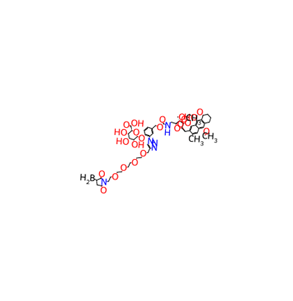 BC1CC(=O)N(CCOCCOCCOCCOCc2cn(-c3cc(COC(=O)NCC45OC6c7c(C)cc8c(OC)c9c(c(O)c8c7O[C@](OC)(C6O4)[C@@]54CO4)C(=O)CCC9)ccc3O[C@@H]3O[C@H](C(=O)O)[C@@H](O)[C@H](O)[C@H]3O)nn2)C1=O